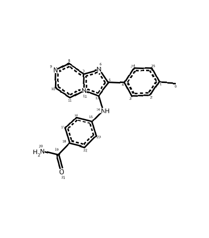 Cc1ccc(-c2nc3cnccn3c2Nc2ccc(C(N)=O)cc2)cc1